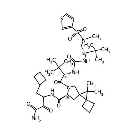 CN(C[C@@H](NC(=O)N[C@H](C(=O)N1CC2(C[C@H]1C(=O)NC(CC1CCC1)C(=O)C(N)=O)C(C)(C)C21CCC1)C(C)(C)C)C(C)(C)C)S(=O)(=O)c1ccsc1